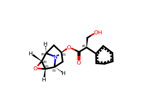 CN1[C@@H]2C[C@@H](OC(=O)[C@@H](CO)c3ccccc3)C[C@H]1[C@@H]1O[C@@H]12